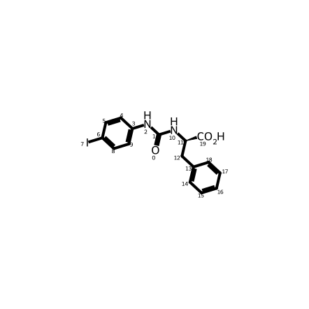 O=C(Nc1ccc(I)cc1)N[C@H](Cc1ccccc1)C(=O)O